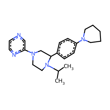 CC(C)N1CCN(c2cnccn2)CC1c1ccc(N2CCCCC2)cc1